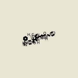 COc1cnc(-c2cc(C(=O)NCCN3CCOCC3)[nH]n2)c2[nH]cc(C(=O)C(=O)N3CCN(c4nnnn4-c4ccccc4)CC3)c12